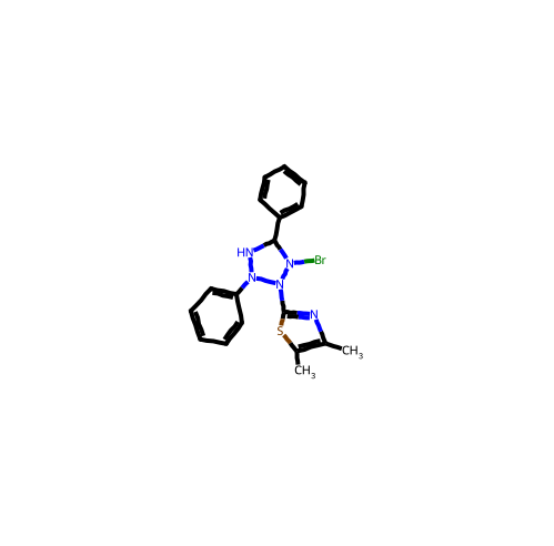 Cc1nc(N2N(c3ccccc3)NC(c3ccccc3)N2Br)sc1C